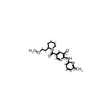 COCCC1CCCCN1C(=O)c1cnc(Nc2cccc(C)n2)c(Cl)c1